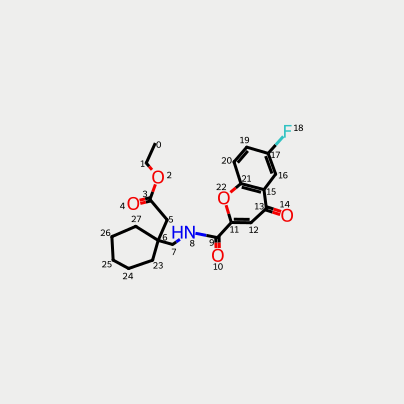 CCOC(=O)CC1(CNC(=O)c2cc(=O)c3cc(F)ccc3o2)CCCCC1